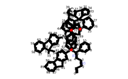 C=C/C=C\C=C(/c1ccccc1)N(c1ccc(-c2cccc3c2Oc2ccccc2C32c3ccccc3-c3cccc(-c4ccc(N(c5ccc6c(c5)C(C)(C)c5ccccc5-6)c5ccccc5-c5ccccc5)cc4)c32)cc1)c1ccc2c(c1)Cc1ccccc1-2